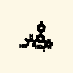 Cc1ccc(-c2cc(C(=O)NC(C)CO)cc(-n3nnnc3[C@H](C)O)c2)cc1